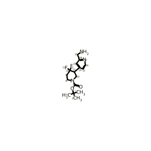 CC(C)(C)OC(=O)N1CCC(F)(F)C(c2ccnc(CN)c2)C1